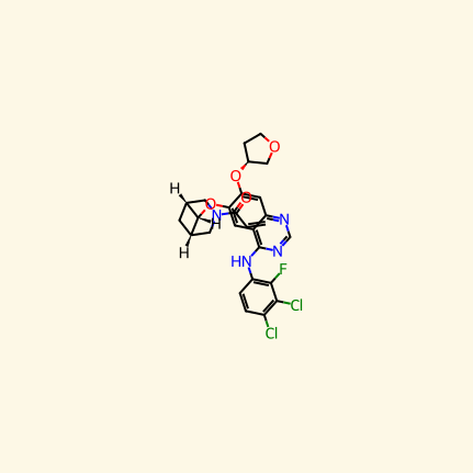 C=CC(=O)N1C[C@H]2C[C@@H](C1)[C@H]2Oc1cc2c(Nc3ccc(Cl)c(Cl)c3F)ncnc2cc1O[C@H]1CCOC1